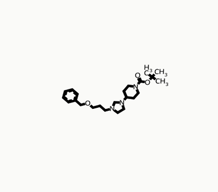 CC(C)(C)OC(=O)N1CCC(N2CCN(CCCOCc3ccccc3)C2)CC1